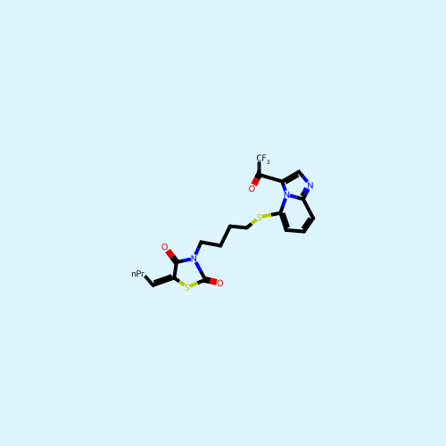 CCC/C=C1/SC(=O)N(CCCCSc2cccc3ncc(C(=O)C(F)(F)F)n23)C1=O